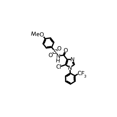 COc1ccc(S(=O)(=O)NC(=O)c2ncn(-c3ccccc3C(F)(F)F)c2Cl)cc1